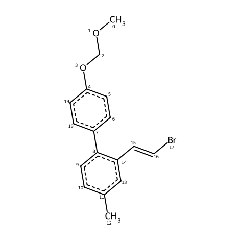 COCOc1ccc(-c2ccc(C)cc2C=CBr)cc1